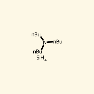 CCCCN(CCCC)CCCC.[SiH4]